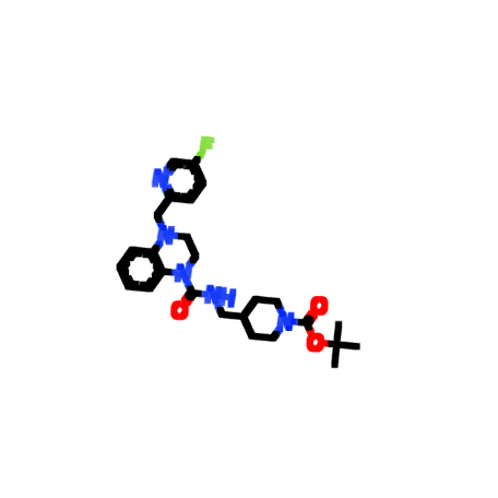 CC(C)(C)OC(=O)N1CCC(CNC(=O)N2CCN(Cc3ccc(F)cn3)c3ccccc32)CC1